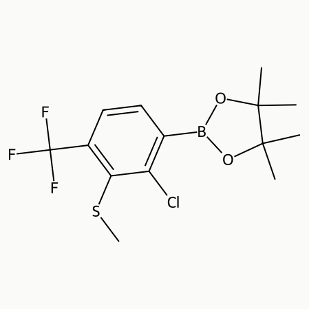 CSc1c(C(F)(F)F)ccc(B2OC(C)(C)C(C)(C)O2)c1Cl